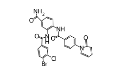 NC(=O)c1ccc(NC(=O)c2ccc(-n3ccccc3=O)cc2)c(NC(=O)c2ccc(Br)c(Cl)c2)c1